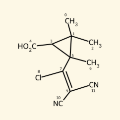 CC1(C)C(C(=O)O)C1(C)C(Cl)=C(C#N)C#N